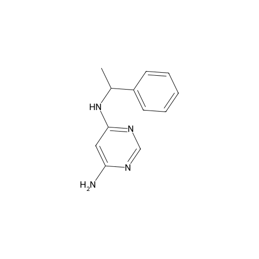 CC(Nc1cc(N)ncn1)c1ccccc1